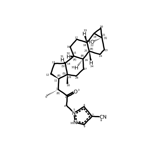 C[C@@H](C(=O)Cn1cc(C#N)cn1)[C@H]1CC[C@H]2[C@@H]3CC[C@@H]4C5C[C@@]5(O)CC[C@@H]4[C@H]3CC[C@]12C